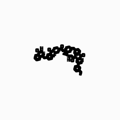 CCc1cccc(-c2cnc(C(=O)N3CCC(CN4CCN(CC(=O)N5CCN(C(=O)c6cc(Cc7n[nH]c(=O)c8ccccc78)ccc6F)CC5)CC4)CC3)c(NC(=O)CNC3CC3)c2)c1